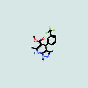 COC(=O)C1=C(C)Nc2c(c(C)nn2C)C1c1cccc(C(F)(F)F)c1